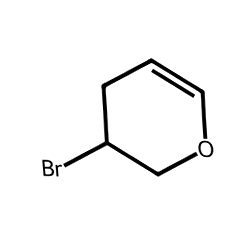 BrC1CC=COC1